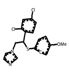 COc1ccc(SC(Cn2ccnc2)c2ccc(Cl)cc2Cl)cc1